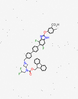 Cc1ccc(Oc2nc3c(F)c(-c4ccc(-c5ccc(CN6CC(N(CC(F)F)C(=O)OCC7c8ccccc8-c8ccccc87)C6)cc5)cc4)c(F)cc3[nH]2)cc1C(=O)O